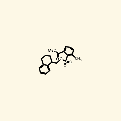 COC(=O)c1cccc(C)c1S(=O)(=O)OCC1CCCc2ccccc21